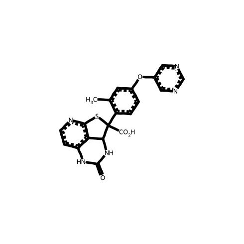 Cc1cc(Oc2cncnc2)ccc1C1(C(=O)O)Sc2nccc3c2C1NC(=O)N3